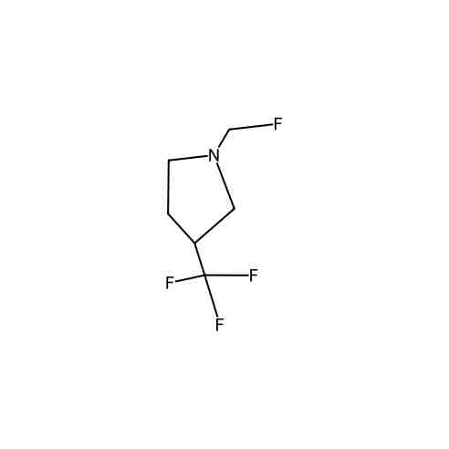 FCN1CCC(C(F)(F)F)C1